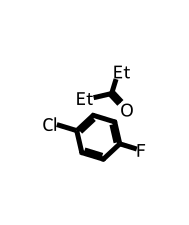 CCC(=O)CC.Fc1ccc(Cl)cc1